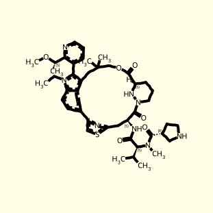 CCn1c(-c2cccnc2[C@H](C)OC)c2c3cc(ccc31)-c1csc(n1)C[C@H](NC(=O)[C@H](C(C)C)N(C)C(=O)[C@@H]1CCNC1)C(=O)N1CCC[C@H](N1)C(=O)OCC(C)(C)C2